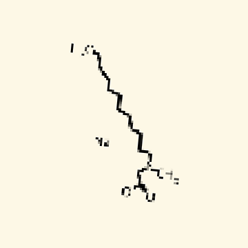 CCCCCCCCCCCCN(C)CC(=O)[O-].[Na+]